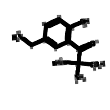 CCCCCCC(N)(C(=O)O)C(=O)c1cc(CN)ccc1O